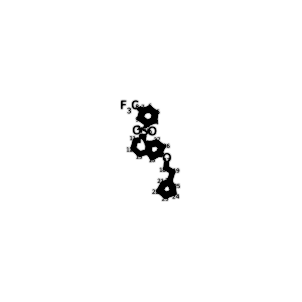 O=S(=O)(c1cccc(C(F)(F)F)c1)N1CCCc2cc(OCCc3ccccc3)ccc21